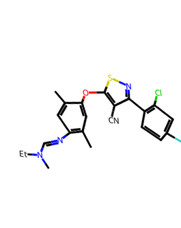 CCN(C)C=Nc1cc(C)c(Oc2snc(-c3ccc(F)cc3Cl)c2C#N)cc1C